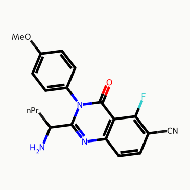 CCCC(N)c1nc2ccc(C#N)c(F)c2c(=O)n1-c1ccc(OC)cc1